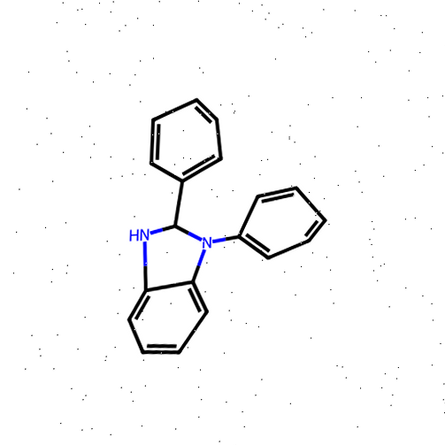 c1ccc(C2Nc3ccccc3N2c2ccccc2)cc1